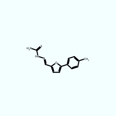 Cc1ccc(-c2ccc(C=NNC(N)=S)o2)cc1